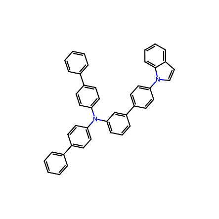 c1ccc(-c2ccc(N(c3ccc(-c4ccccc4)cc3)c3cccc(-c4ccc(-n5ccc6ccccc65)cc4)c3)cc2)cc1